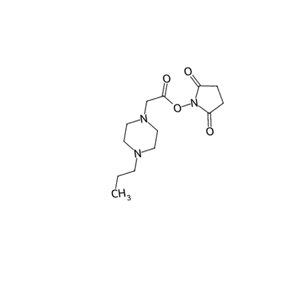 CCCN1CCN(CC(=O)ON2C(=O)CCC2=O)CC1